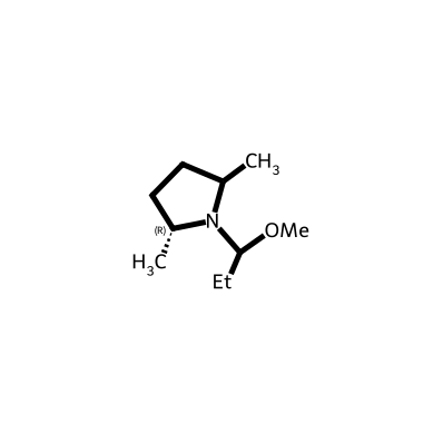 CCC(OC)N1C(C)CC[C@H]1C